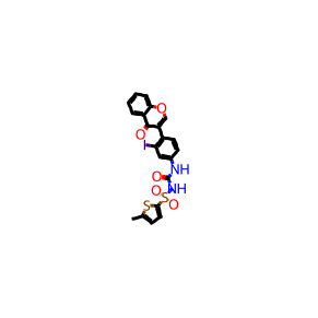 Cc1ccc(S(=O)(=O)NC(=O)Nc2ccc(-c3coc4ccccc4c3=O)c(I)c2)s1